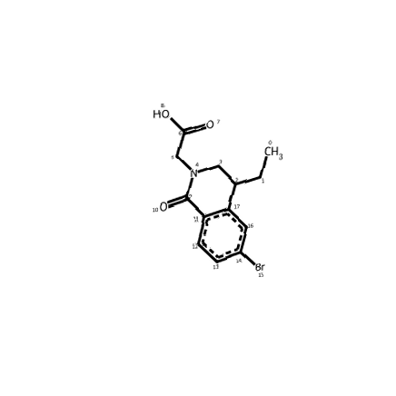 CCC1CN(CC(=O)O)C(=O)c2ccc(Br)cc21